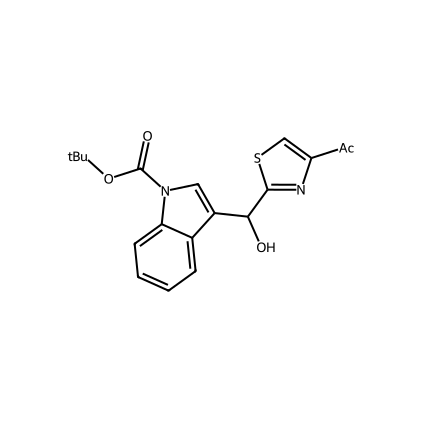 CC(=O)c1csc(C(O)c2cn(C(=O)OC(C)(C)C)c3ccccc23)n1